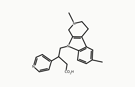 Cc1ccc2c(c1)c1c(n2CC(CC(=O)O)c2ccncc2)CN(C)CC1